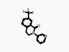 O=C1c2cc(C(F)(F)F)ccc2CCN1c1cccnc1